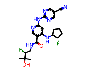 CC(C)(O)C(F)CNC(=O)c1cnc(Nc2ncc(C#N)cn2)cc1N[C@H]1CCC[C@@H]1F